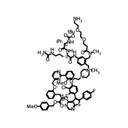 COc1ccc(COC(=O)[C@@H](Cc2ccccc2OCc2ccnc(-c3ccccc3OC)n2)Oc2ncnc3sc(-c4ccc(F)cc4)c(-c4ccc(OCCN5CC[N+](C)(Cc6ccc(NC(=O)[C@H](CCCNC(N)=O)NC(=O)[C@@H](NC(=O)OC(C)(C)C)C(C)C)cc6CN(C)C(=O)CCOCCOCCN)CC5)c(Cl)c4C)c23)cc1